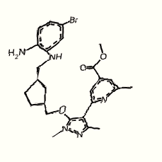 COC(=O)c1cc(C)nc(-c2c(C)nn(C)c2OC[C@H]2CC[C@@H](CNc3cc(Br)ccc3N)C2)c1